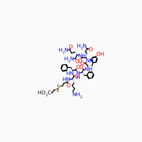 NCCCC[C@H](NC(=O)CCSSCCC(=O)O)C(=O)N[C@@H](Cc1ccccc1)C(=O)N[C@@H](Cc1ccccc1)C(=O)N[C@@H](Cc1ccc(O)cc1)C(=O)N[C@@H](CCC(N)=O)C(=O)N[C@@H](CCC(N)=O)C(N)=O